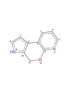 c1cnc2c(c1)-c1cc[nH]c1CO2